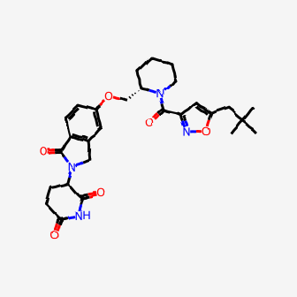 CC(C)(C)Cc1cc(C(=O)N2CCCC[C@H]2COc2ccc3c(c2)CN(C2CCC(=O)NC2=O)C3=O)no1